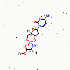 CC(C)OC(=O)[C@H](C)NP1(=O)OC[C@H]2S[C@@H](n3cnc(N)nc3=O)CC2O1